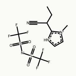 CCC(C#N)c1[nH]cc[n+]1C.O=S(=O)([N-]S(=O)(=O)C(F)(F)F)C(F)(F)F